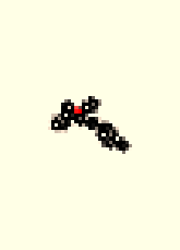 c1ccc(-c2ccc3ccc4c(-c5ccc(-c6ccc(-c7c8ccccc8cc8c7ccc7ccccc78)c7oc8cc9ccccc9cc8c67)cc5)ccc5ccc2c3c54)cc1